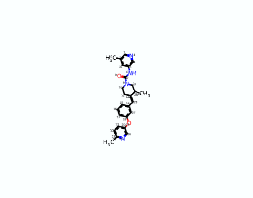 Cc1cncc(NC(=O)N2CCC(=Cc3cccc(Oc4ccc(C)nc4)c3)C(C)C2)c1